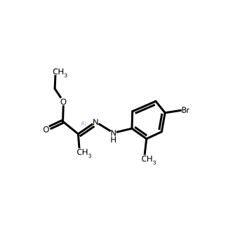 CCOC(=O)/C(C)=N/Nc1ccc(Br)cc1C